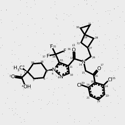 C[C@]1(C(=O)O)CC[C@H](n2ncc(C(=O)N(CC(=O)c3c(Cl)cccc3Cl)CC3CC4(CC4)C3)c2C(F)(F)F)CC1